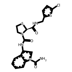 NC(=O)n1cc(NC(=O)N2CCS[C@H]2C(=O)NCc2ccc(Cl)s2)c2ccccc21